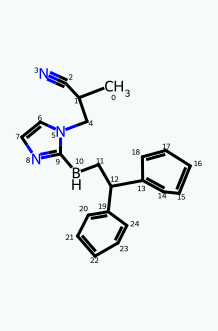 CC(C#N)Cn1ccnc1BCC(c1ccccc1)c1ccccc1